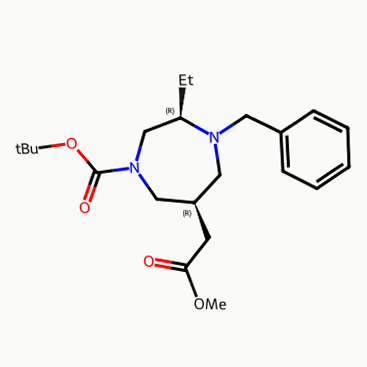 CC[C@@H]1CN(C(=O)OC(C)(C)C)C[C@H](CC(=O)OC)CN1Cc1ccccc1